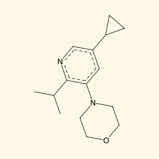 CC(C)c1ncc(C2CC2)cc1N1CCOCC1